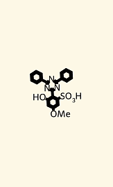 COc1cc(O)c(-c2nc(-c3ccccc3)nc(-c3ccccc3)n2)c(S(=O)(=O)O)c1